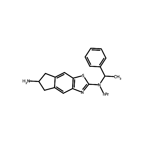 CCCN(c1nc2cc3c(cc2s1)CC(N)C3)C(C)c1ccccc1